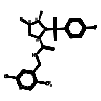 C[C@H]1[C@H](F)C[C@@H](C(=O)NCc2cc(Cl)ncc2C(F)(F)F)N1S(=O)(=O)c1ccc(F)cc1